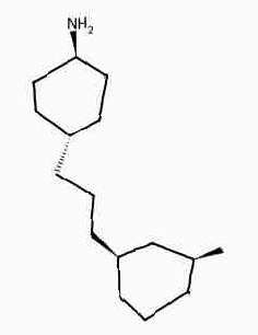 C[C@H]1CCC[C@@H](CCC[C@H]2CC[C@H](N)CC2)C1